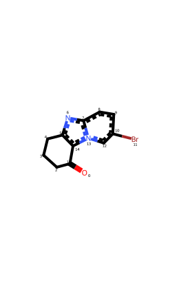 O=C1CCCc2nc3ccc(Br)cn3c21